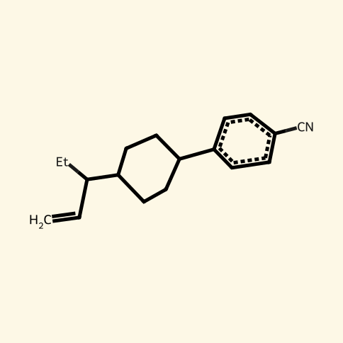 C=CC(CC)C1CCC(c2ccc(C#N)cc2)CC1